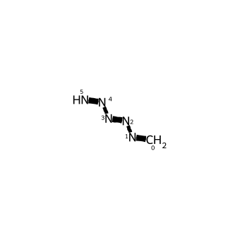 C=NN=NN=N